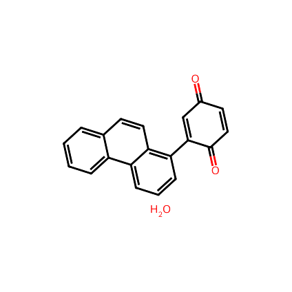 O.O=C1C=CC(=O)C(c2cccc3c2ccc2ccccc23)=C1